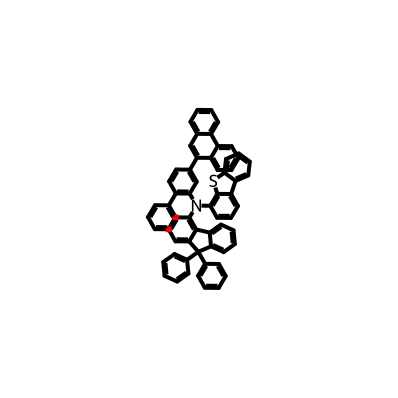 c1ccc(-c2ccc(-c3cc4ccccc4c4ccccc34)cc2N(c2cccc3c2-c2ccccc2C3(c2ccccc2)c2ccccc2)c2cccc3c2sc2ccccc23)cc1